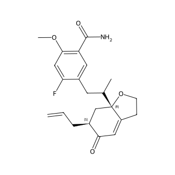 C=CC[C@H]1C[C@]2(C(C)Cc3cc(C(N)=O)c(OC)cc3F)OCCC2=CC1=O